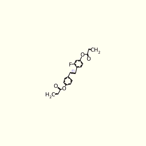 C=CC(=O)Oc1ccc(/C=C/c2ccc(OC(=O)C=C)cc2F)cc1